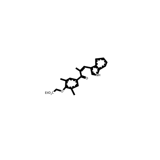 CCOC(=O)COc1c(C)cc(C(=O)C(C)=Cc2c[nH]c3ccccc23)cc1C